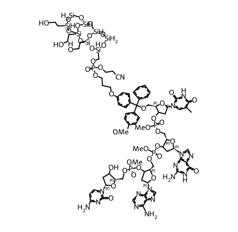 COc1ccc(C(OC[C@H]2O[C@@H](n3cc(C)c(=O)[nH]c3=O)CC2OP(=O)(OC)OC[C@H]2O[C@@H](n3cnc4c(=O)[nH]c(N)nc43)CC2OP(=O)(OC)OC[C@H]2O[C@@H](n3cnc4c(N)ncnc43)CC2OP(=O)(OC)OC[C@H]2O[C@@H](n3ccc(N)nc3=O)CC2O)(c2ccccc2)c2ccc(OCCCOP(=O)(OCCC#N)OC[SiH]3O[SiH2]O[SiH]4O[SiH]5O[SiH2]O[SiH](CCO)O[Si](CCO)(O5)O[Si](CCO)(O3)O4)cc2)cc1